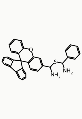 NC(SC(N)c1ccc2c(c1)Oc1ccccc1C21c2ccccc2-c2ccccc21)c1ccccc1